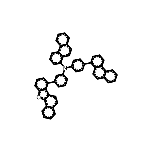 c1cc(-c2cccc3oc4c5ccccc5ccc4c23)cc(N(c2ccc(-c3cccc4c3ccc3ccccc34)cc2)c2cccc3c2ccc2ccccc23)c1